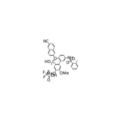 COc1cc(C(=O)O)c(-c2cc(NS(=O)(=O)c3ccccc3C)ccc2Oc2ccc3cc(C#N)ccc3c2)cc1OC.O=C(O)C(F)(F)F